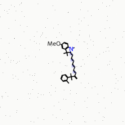 C=C(/C=C/C=C/C=C/C=C1/N(C)c2ccc(OC)cc2C1(C)C)C(C)(C)c1ccccc1C